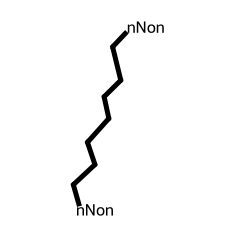 [CH]CCCCCCCCCCCCCCCCCCCCCCCC